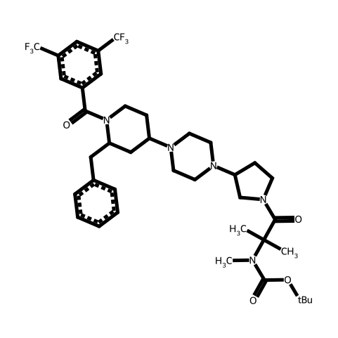 CN(C(=O)OC(C)(C)C)C(C)(C)C(=O)N1CCC(N2CCN(C3CCN(C(=O)c4cc(C(F)(F)F)cc(C(F)(F)F)c4)C(Cc4ccccc4)C3)CC2)C1